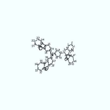 c1cnc2c(c1)cc(-c1ccc(N(c3ccc4c(c3)oc3ccccc34)c3ccc4oc5ccccc5c4c3)cc1)c1oc3ccccc3c12